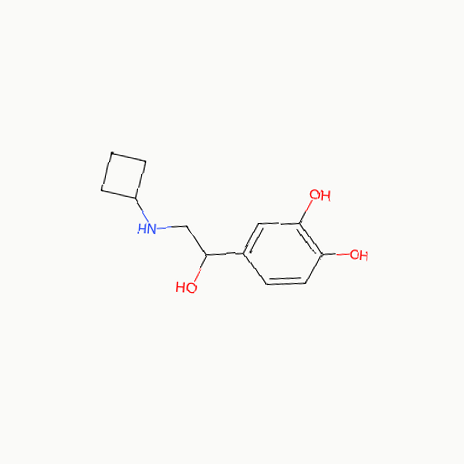 Oc1ccc(C(O)CNC2CCC2)cc1O